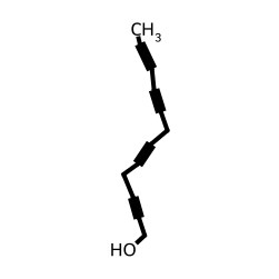 CC#CC#CCC#CCC#CCO